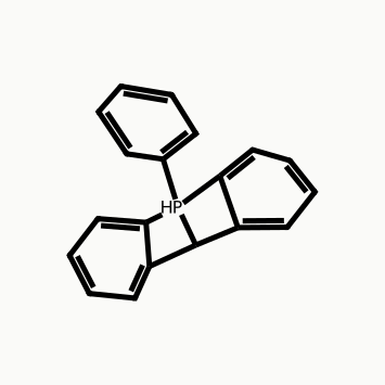 c1ccc([PH]23c4ccccc4C2c2ccccc23)cc1